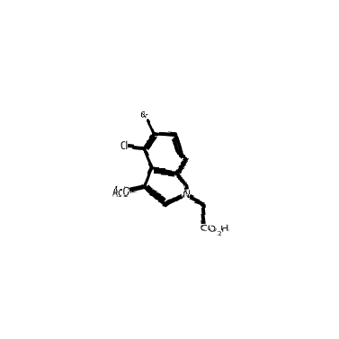 CC(=O)Oc1cn(CC(=O)O)c2ccc(Br)c(Cl)c12